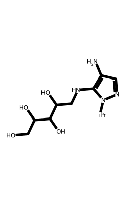 CC(C)n1ncc(N)c1NCC(O)C(O)C(O)CO